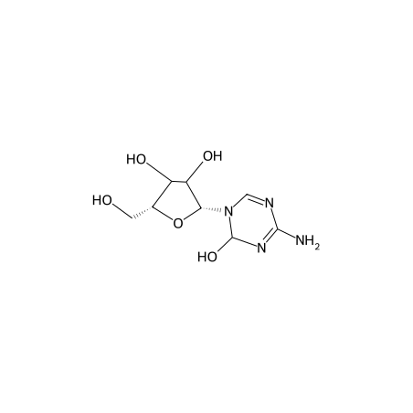 NC1=NC(O)N([C@@H]2O[C@H](CO)C(O)C2O)C=N1